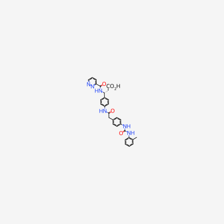 Cc1ccccc1NC(=O)Nc1ccc(CC(=O)Nc2ccc([C@@H](CC(=O)O)NC(=O)c3cccnn3)cc2)cc1